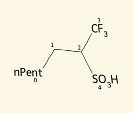 CCCCCCC(C(F)(F)F)S(=O)(=O)O